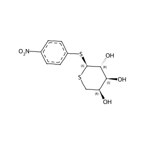 O=[N+]([O-])c1ccc(S[C@@H]2SC[C@H](O)[C@H](O)[C@H]2O)cc1